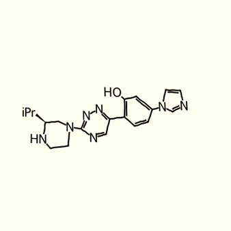 CC(C)[C@H]1CN(c2ncc(-c3ccc(-n4ccnc4)cc3O)nn2)CCN1